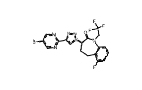 O=C1C(n2cc(-c3ncc(Br)cn3)nn2)CCc2c(F)cccc2N1CC(F)(F)F